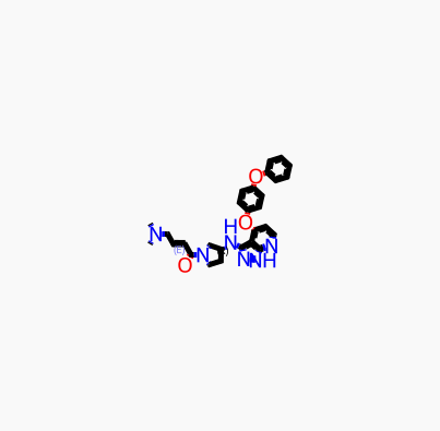 CN(C)C/C=C/C(=O)N1CC[C@@H](Nc2n[nH]c3nccc(Oc4ccc(Oc5ccccc5)cc4)c23)C1